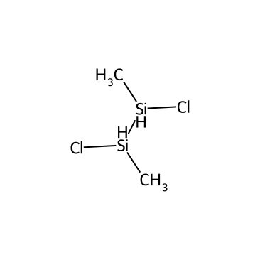 C[SiH](Cl)[SiH](C)Cl